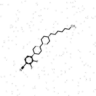 CCCCCCC[C@H]1CC[C@H]([C@H]2CC[C@H](c3ccc(C#N)c(F)c3F)CC2)CC1